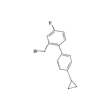 Fc1ccc(-c2ccc(C3CC3)cc2)c(CBr)c1